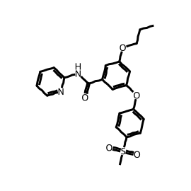 CCCOc1cc(Oc2ccc(S(C)(=O)=O)cc2)cc(C(=O)Nc2ccccn2)c1